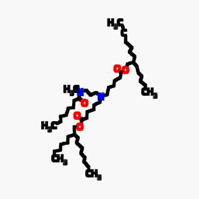 CCCCCCCCC(CCCCCC)COC(=O)CCCCCN(CCCCCC(=O)OCC(CCCCCC)CCCCCCCC)CCCN(C)C(=O)CCCCCCC